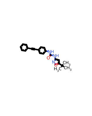 CC(C)(C)c1cc(NC(=O)Nc2ccc(C#Cc3ccccc3)cc2)no1